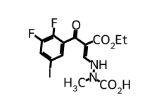 CCOC(=O)C(=CNN(C)C(=O)O)C(=O)c1cc(I)cc(F)c1F